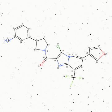 Nc1cccc(C2CCN(C(=O)c3nc4c(C(F)(F)F)cc(-c5ccoc5)cn4c3Cl)C2)c1